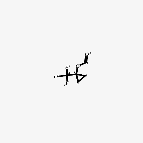 O=COC1(C(F)(F)F)CC1